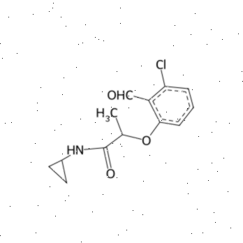 CC(Oc1cccc(Cl)c1C=O)C(=O)NC1CC1